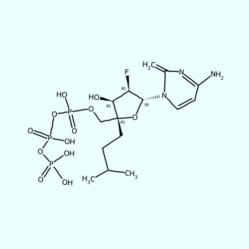 C=C1N=C(N)C=CN1[C@@H]1O[C@](CCC(C)C)(COP(=O)(O)OP(=O)(O)OP(=O)(O)O)[C@@H](O)[C@H]1F